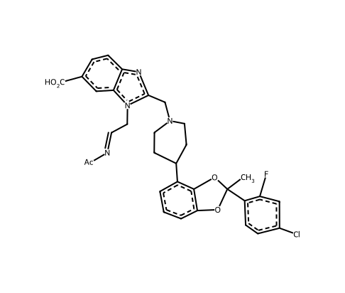 CC(=O)N=CCn1c(CN2CCC(c3cccc4c3OC(C)(c3ccc(Cl)cc3F)O4)CC2)nc2ccc(C(=O)O)cc21